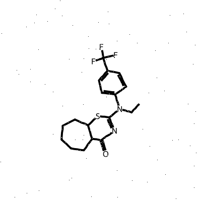 CCN(C1=NC(=O)C2CCCCCC2S1)c1ccc(C(F)(F)F)cc1